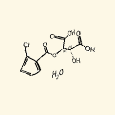 O.O=C(O[C@@H](C(=O)O)[C@@H](O)C(=O)O)c1ccccc1Cl